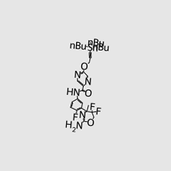 CCC[CH2][Sn]([C]#CCOc1cnc(C(=O)Nc2ccc(F)c(C3(C)N=C(N)OCC3(F)F)c2)cn1)([CH2]CCC)[CH2]CCC